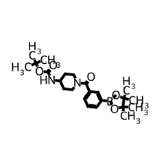 CC(C)(C)OC(=O)NC1CCN(C(=O)c2cccc(B3OC(C)(C)C(C)(C)O3)c2)CC1